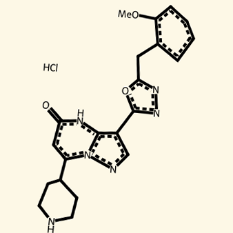 COc1ccccc1Cc1nnc(-c2cnn3c(C4CCNCC4)cc(=O)[nH]c23)o1.Cl